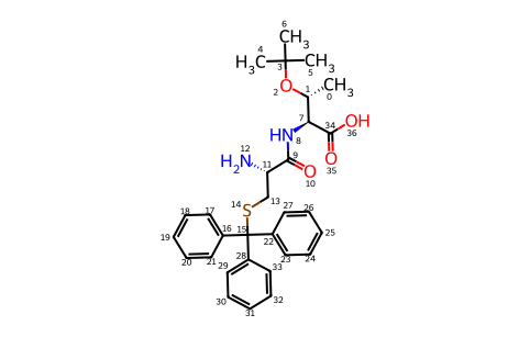 C[C@@H](OC(C)(C)C)[C@H](NC(=O)[C@@H](N)CSC(c1ccccc1)(c1ccccc1)c1ccccc1)C(=O)O